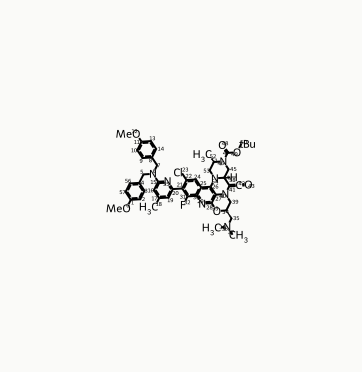 COc1ccc(CN(Cc2ccc(OC)cc2)c2cc(C)cc(-c3c(Cl)cc4c5c6c(nc4c3F)O[C@H](CN(C)C)CN6C(=C=O)[C@H]3CN(C(=O)OC(C)(C)C)[C@H](C)CN53)n2)cc1